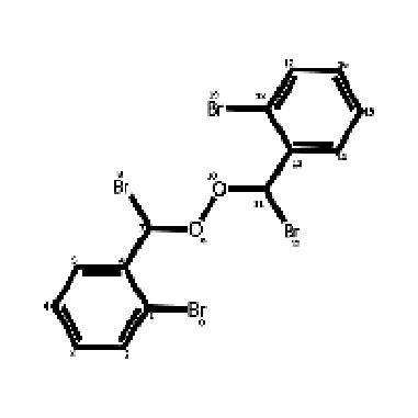 Brc1ccccc1C(Br)OOC(Br)c1ccccc1Br